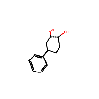 OC1CCC(c2ccccc2)CC1O